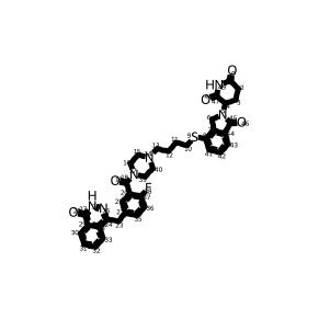 O=C1CCC(N2Cc3c(SCCCCN4CCN(C(=O)c5cc(Cc6n[nH]c(=O)c7ccccc67)ccc5F)CC4)cccc3C2=O)C(=O)N1